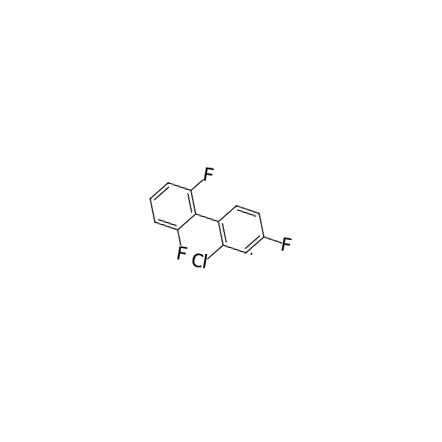 Fc1[c]c(Cl)c(-c2c(F)cccc2F)cc1